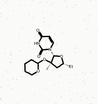 CC[C@@H]1C[C@@](C)(OC2CCCCO2)[C@H](n2ccc(=O)[nH]c2=O)O1